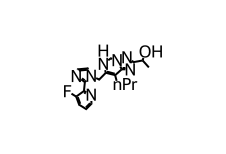 CCCC1=C(Cn2ccnc2-c2ncccc2F)NCn2nc(C(C)O)nc21